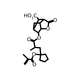 C=C(C)C(=O)OC1(CC(C)C(=O)OC2C3CC4C2OC(=O)C4C3C(=O)O)CCCC1